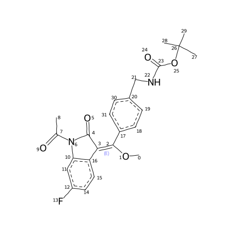 CO/C(=C1/C(=O)N(C(C)=O)c2cc(F)ccc21)c1ccc(CNC(=O)OC(C)(C)C)cc1